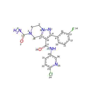 NC(=O)N1CCn2nc(-c3cccc(F)c3)c(C(=O)Nc3ccc(Cl)nc3)c2C1